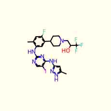 Cc1cc(Nc2nc(Nc3cc(C4CCN(CC(O)C(F)(F)F)CC4)c(F)cc3C)ncc2I)n[nH]1